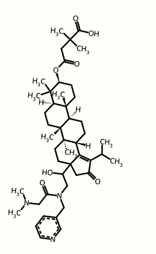 CC(C)C1=C2[C@H]3CC[C@@H]4[C@@]5(C)CC[C@H](OC(=O)CC(C)(C)C(=O)O)C(C)(C)[C@@H]5CC[C@@]4(C)[C@]3(C)CCC2(C(O)CN(Cc2cccnc2)C(=O)CN(C)C)CC1=O